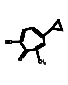 Cc1cc(C2CC2)ccc(O)c1=O